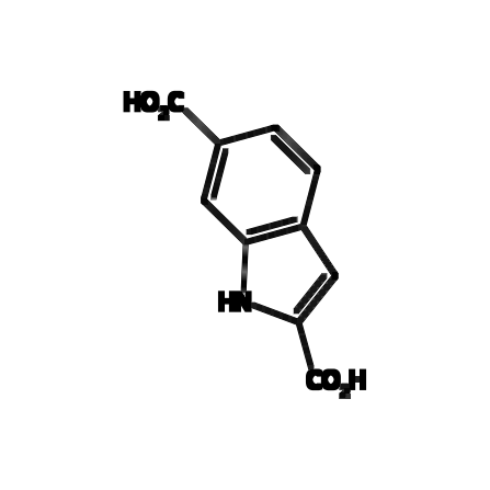 O=C(O)c1ccc2cc(C(=O)O)[nH]c2c1